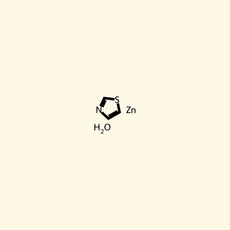 O.[Zn].c1cscn1